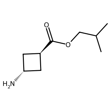 CC(C)COC(=O)[C@H]1C[C@H](N)C1